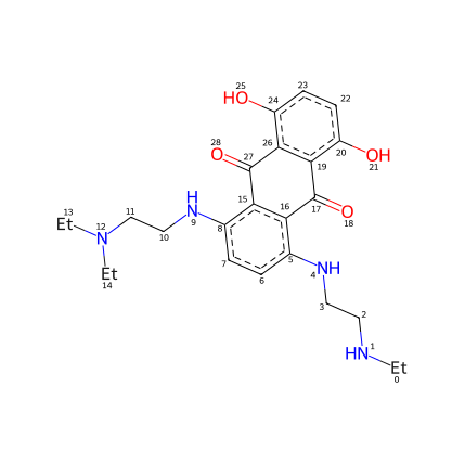 CCNCCNc1ccc(NCCN(CC)CC)c2c1C(=O)c1c(O)ccc(O)c1C2=O